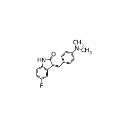 CN(C)c1ccc(/C=C2\C(=O)Nc3ccc(F)cc32)cc1